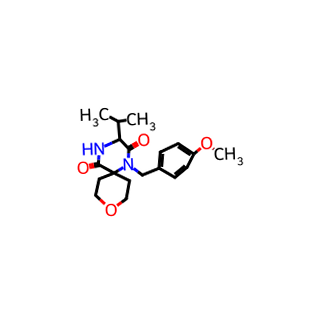 COc1ccc(CN2C(=O)C(C(C)C)NC(=O)C23CCOCC3)cc1